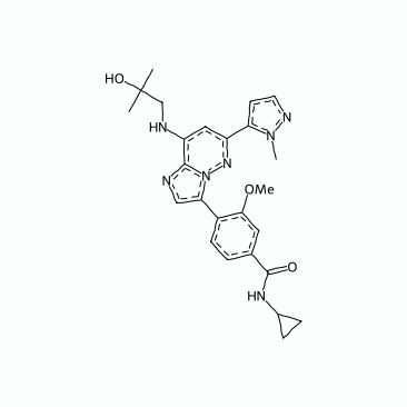 COc1cc(C(=O)NC2CC2)ccc1-c1cnc2c(NCC(C)(C)O)cc(-c3ccnn3C)nn12